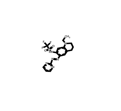 CCN1CCCc2cc(N=Nc3ncccn3)c(NS(=O)(=O)C(F)(F)F)cc21